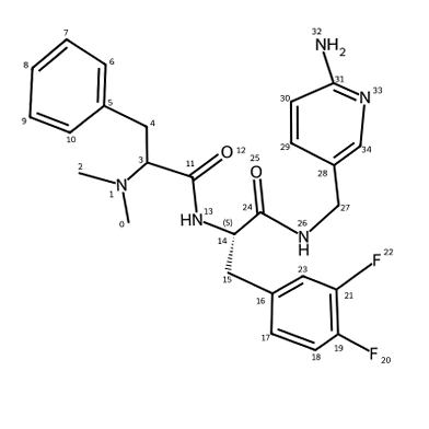 CN(C)C(Cc1ccccc1)C(=O)N[C@@H](Cc1ccc(F)c(F)c1)C(=O)NCc1ccc(N)nc1